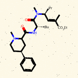 CCOC(=O)/C(C)=C/[C@H](C(C)C)N(C)C(=O)[C@@H](NC(=O)C1C[C@@H](c2ccccc2)CCN1C)C(C)(C)C